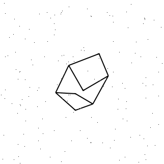 C1C2CC1C1CC2C1